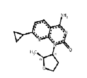 C[C@@H]1OCC[C@@H]1n1c(=O)nc(N)c2ccc(C3CC3)nc21